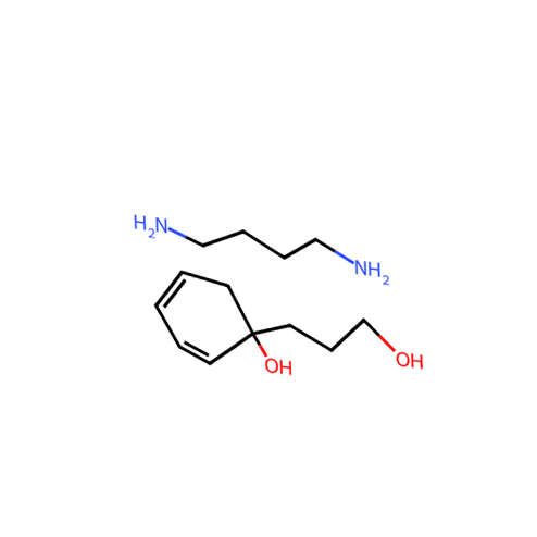 NCCCCN.OCCCC1(O)C=CC=CC1